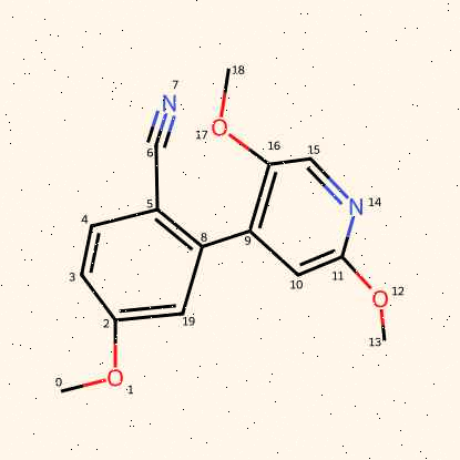 COc1ccc(C#N)c(-c2cc(OC)ncc2OC)c1